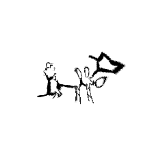 Cc1ccccc1S(=O)(=O)NC(=O)Nc1nc(C)c(SC(F)(F)F)s1